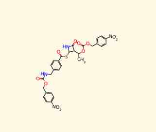 CC(OC(=O)OCc1ccc([N+](=O)[O-])cc1)C1C(=O)NC1SC(=O)c1ccc(CNC(=O)OCc2ccc([N+](=O)[O-])cc2)cc1